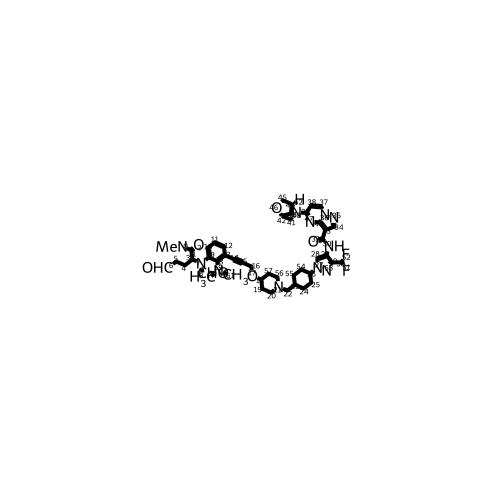 CNC(=O)C(CCC=O)N(C=O)c1cccc(C#CCOC2CCN(CC3CCC(n4cc(NC(=O)c5cnn6ccc(N7CC8C[C@@H]7CO8)nc56)c(C(F)F)n4)CC3)CC2)c1N(C)C